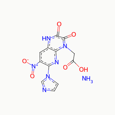 N.O=C(O)Cn1c(=O)c(=O)[nH]c2cc([N+](=O)[O-])c(-n3ccnc3)nc21